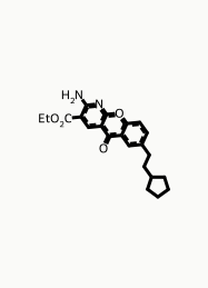 CCOC(=O)c1cc2c(=O)c3cc(CCC4CCCC4)ccc3oc2nc1N